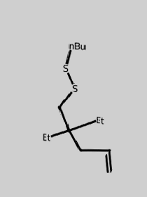 C=CCC(CC)(CC)CSSCCCC